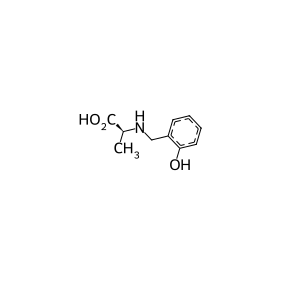 C[C@H](NCc1ccccc1O)C(=O)O